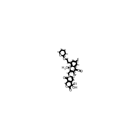 CC[C@@]1(O)C(=O)OCc2c1ccn(CC1=C(Br)C(=C=O)c3cc(F)cc(CCOC4CCCCO4)c3N1C)c2=O